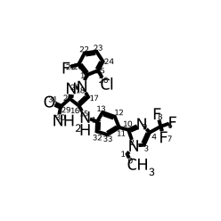 CCn1cc(C(F)(F)F)nc1-c1ccc(Nc2cn(-c3c(F)cccc3Cl)nc2C(N)=O)cc1